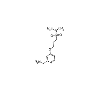 CN(C)S(=O)(=O)CCCOc1cc[c]c(CN)c1